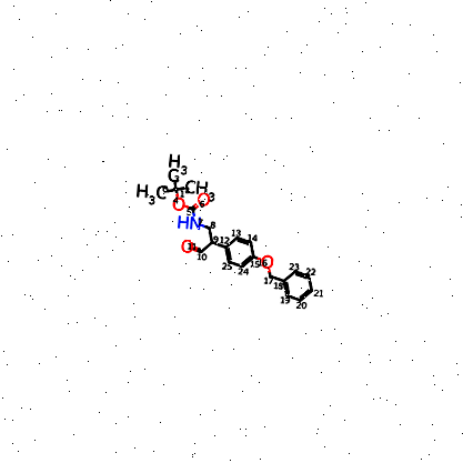 CC(C)(C)OC(=O)NCC(C=O)c1ccc(OCc2ccccc2)cc1